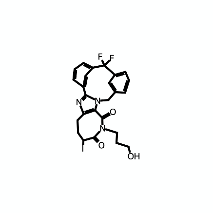 O=C1c2c(nc3n2Cc2cccc(c2)C(F)(F)c2cccc-3c2)CCC(I)C(=O)N1CCCO